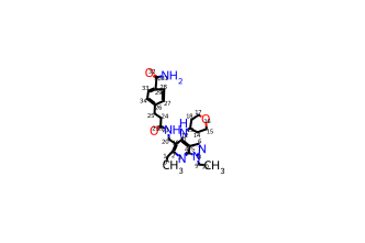 CCc1nc2c(cnn2CC)c(NC2CCOCC2)c1CNC(=O)CCc1ccc(C(N)=O)cc1